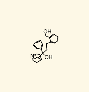 OCc1ccccc1CCC(O)(c1ccccc1)C1CN2CCC1CC2